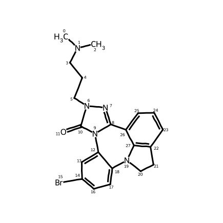 CN(C)CCCn1nc2n(c1=O)-c1cc(Br)ccc1N1CCc3cccc-2c31